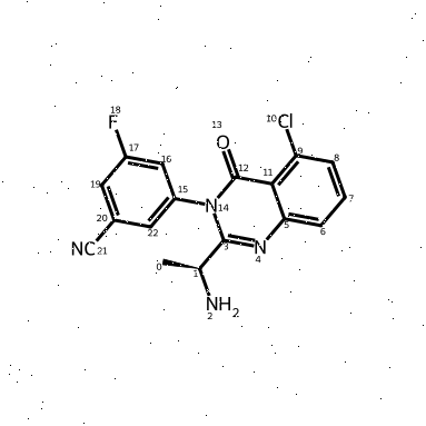 C[C@H](N)c1nc2cccc(Cl)c2c(=O)n1-c1cc(F)cc(C#N)c1